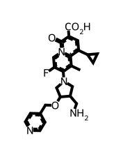 Cc1c(N2CC(CN)C(OCc3ccncc3)C2)c(F)cn2c(=O)c(C(=O)O)cc(C3CC3)c12